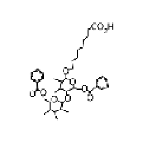 CC1C(COC(=O)c2ccccc2)OC(OC2C(COC(=O)c3ccccc3)OC(OCCCCCCCCC(=O)O)C(C)C2C)C(C)C1C